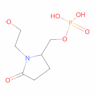 [O]CCN1C(=O)CCC1COP(=O)(O)O